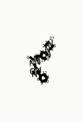 Cc1nc(-c2nc(-c3ccccc3)no2)nn1Cc1ccnc(N2CCN(C)CC2)c1